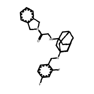 O=C(CNC12CC3CC(C1)CC(OCc1ccc(F)cc1F)(C3)C2)N1Cc2ccccc2C1